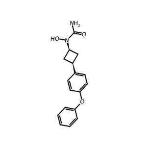 NC(=O)N(O)[C@H]1C[C@@H](c2ccc(Oc3ccccc3)cc2)C1